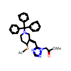 COC(=O)Cn1ncnc1/C=C1/CN(C(c2ccccc2)(c2ccccc2)c2ccccc2)CCC1SC(C)=O